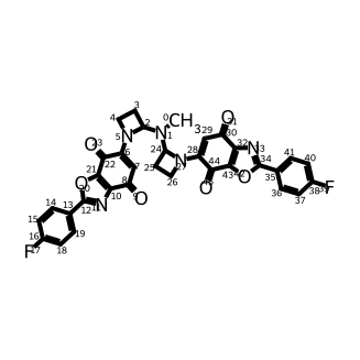 CN(C1CCN1C1=CC(=O)c2nc(-c3ccc(F)cc3)oc2C1=O)C1CCN1C1=CC(=O)c2nc(-c3ccc(F)cc3)oc2C1=O